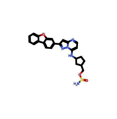 NS(=O)OCC1CCC(Nc2ccnc3cc(-c4ccc5c(c4)oc4ccccc45)nn23)C1